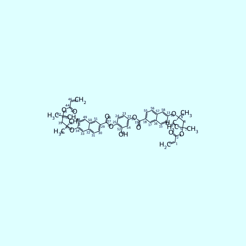 C=CC(=O)OC(C)(C)CC(C)(C)Oc1ccc2cc(C(=O)Oc3ccc(OC(=O)c4ccc5cc(OC(C)(C)CC(C)(C)OC(=O)C=C)ccc5c4)c(O)c3)ccc2c1